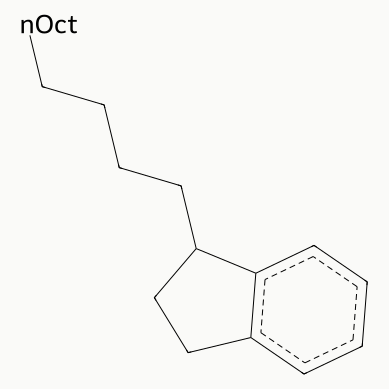 CCCCCCCCCCCCC1CCc2ccccc21